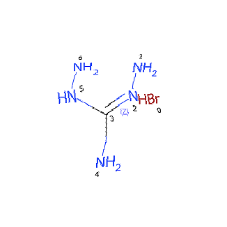 Br.N/N=C(/N)NN